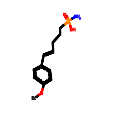 CCOc1ccc(C=CCCCP(N)(=O)O)cc1